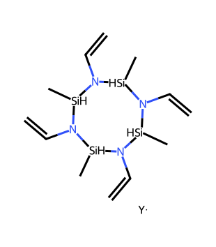 C=CN1[SiH](C)N(C=C)[SiH](C)N(C=C)[SiH](C)N(C=C)[SiH]1C.[Y]